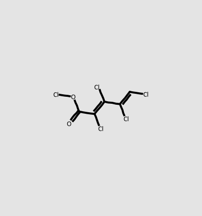 O=C(OCl)C(Cl)=C(Cl)C(Cl)=CCl